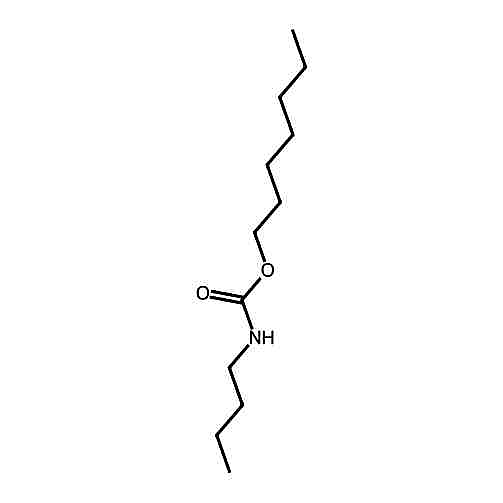 CCCCCCCOC(=O)NCCCC